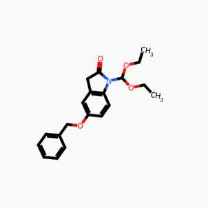 CCOC(OCC)N1C(=O)Cc2cc(OCc3ccccc3)ccc21